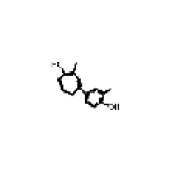 CC1=C(O)C=CCC(c2ccc(O)c(C)c2)=C1